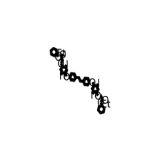 CCC1(OC(=O)COc2cc(I)c(Oc3ccc(CCc4ccc(Oc5cc(I)c(OCC(=O)OC6(CC)CCCCC6)cc5I)cc4)cc3)cc2I)CCCCC1